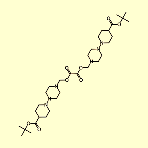 CC(C)(C)OC(=O)C1CCN(N2CCN(COC(=O)C(=O)OCN3CCN(N4CCC(C(=O)OC(C)(C)C)CC4)CC3)CC2)CC1